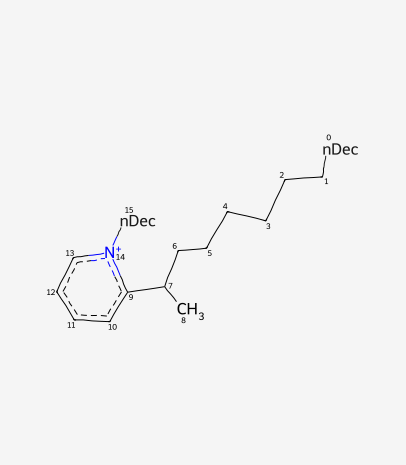 CCCCCCCCCCCCCCCCC(C)c1cccc[n+]1CCCCCCCCCC